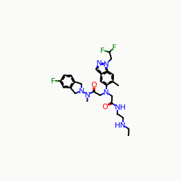 CCNCCNC(=O)CN(CC(=O)N(C)N1Cc2ccc(F)cc2C1)c1cc2cnn(CC(F)F)c2cc1C